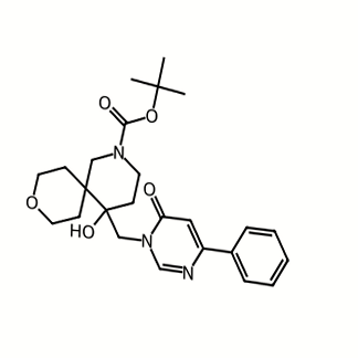 CC(C)(C)OC(=O)N1CCC(O)(Cn2cnc(-c3ccccc3)cc2=O)C2(CCOCC2)C1